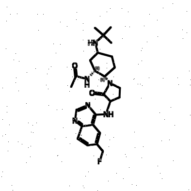 CC(=O)N[C@@H]1CC(NC(C)(C)C)CC[C@@H]1N1CCC(Nc2ncnc3ccc(CF)cc23)C1=O